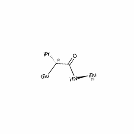 CC[C@H](C)NC(=O)[C@@H](C(C)C)C(C)(C)C